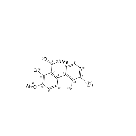 CNC(=O)c1c(-c2ccnc(C)c2F)ccc(OC)c1Cl